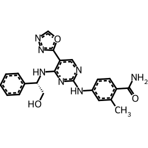 Cc1cc(Nc2ncc(-c3nnco3)c(N[C@H](CO)c3ccccc3)n2)ccc1C(N)=O